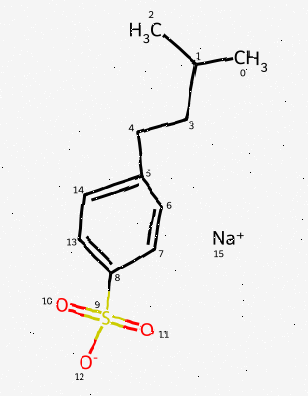 CC(C)CCc1ccc(S(=O)(=O)[O-])cc1.[Na+]